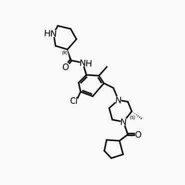 Cc1c(CN2CCN(C(=O)C3CCCC3)[C@@H](C)C2)cc(Cl)cc1NC(=O)[C@@H]1CCCNC1